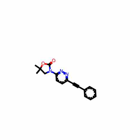 CC1(C)CN(c2ccc(C#Cc3ccccc3)nn2)C(=O)O1